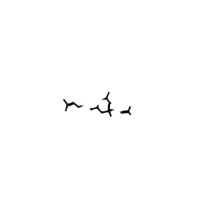 CC(C)=CCOCC(CC(C)(C)OC=C(C)C)OC(C)C